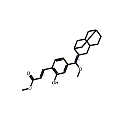 COC(=O)/C=C/c1ccc(/C(OC)=C2/CC3CCC4CC2CC3C4)cc1O